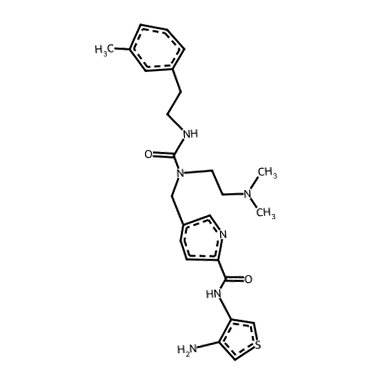 Cc1cccc(CCNC(=O)N(CCN(C)C)Cc2ccc(C(=O)Nc3cscc3N)nc2)c1